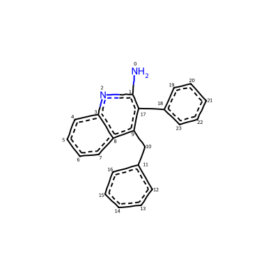 Nc1nc2ccccc2c(Cc2ccccc2)c1-c1ccccc1